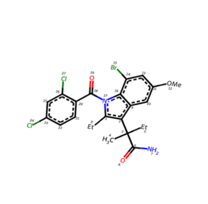 CCc1c(C(C)(CC)C(N)=O)c2cc(OC)cc(Br)c2n1C(=O)c1ccc(Cl)cc1Cl